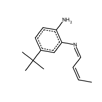 C/C=C\C=N/c1cc(C(C)(C)C)ccc1N